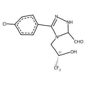 O=CC1NN=C(c2ccc(Cl)cc2)N1C[C@H](O)C(F)(F)F